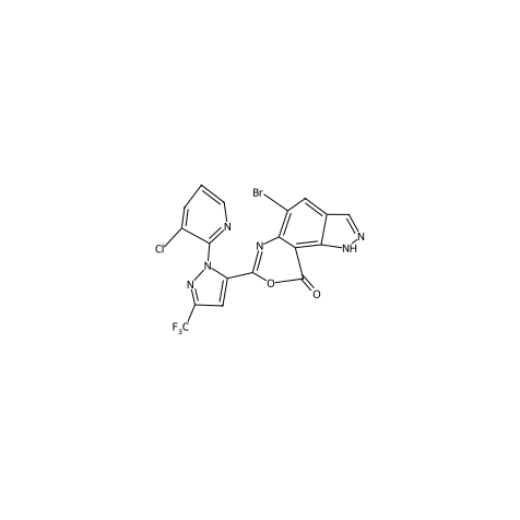 O=c1oc(-c2cc(C(F)(F)F)nn2-c2ncccc2Cl)nc2c(Br)cc3cn[nH]c3c12